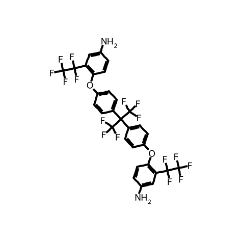 Nc1ccc(Oc2ccc(C(c3ccc(Oc4ccc(N)cc4C(F)(F)C(F)(F)F)cc3)(C(F)(F)F)C(F)(F)F)cc2)c(C(F)(F)C(F)(F)F)c1